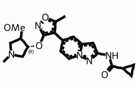 COC1CN(C)C[C@H]1Oc1noc(C)c1-c1ccn2nc(NC(=O)C3CC3)cc2c1